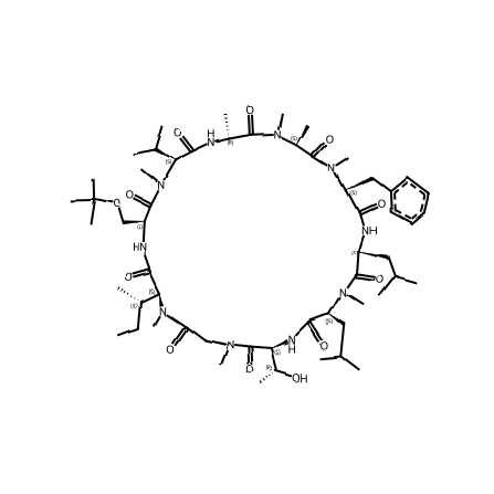 CC[C@H](C)[C@H]1C(=O)N[C@@H](COC(C)(C)C)C(=O)N(C)[C@@H](C(C)C)C(=O)N[C@H](C)C(=O)N(C)[C@@H](C)C(=O)N(C)[C@@H](Cc2ccccc2)C(=O)N[C@@H](CC(C)C)C(=O)N(C)[C@@H](CC(C)C)C(=O)N[C@@H]([C@@H](C)O)C(=O)N(C)CC(=O)N1C